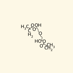 C=C(C)C(=O)OC(O)CCOCCC(O)OC(=O)C(=C)C